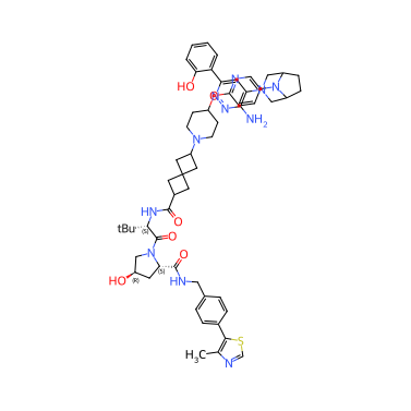 Cc1ncsc1-c1ccc(CNC(=O)[C@@H]2C[C@@H](O)CN2C(=O)[C@@H](NC(=O)C2CC3(C2)CC(N2CCC(Oc4ccc(N5C6CCC5CN(c5cc(-c7ccccc7O)nnc5N)C6)cn4)CC2)C3)C(C)(C)C)cc1